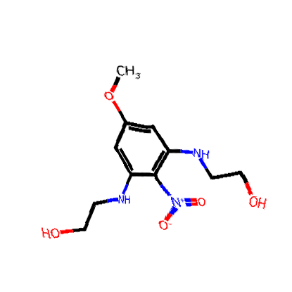 COc1cc(NCCO)c([N+](=O)[O-])c(NCCO)c1